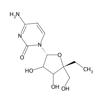 CC[C@]1(CO)O[C@@H](n2ccc(N)nc2=O)C(O)C1O